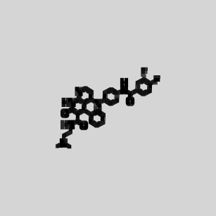 CN(C)CCNC(=O)c1c(-c2ccccc2)c2c(Nc3ccc(NC(=O)c4ccc(F)c(F)c4)cc3)ccnc2[nH]c1=O